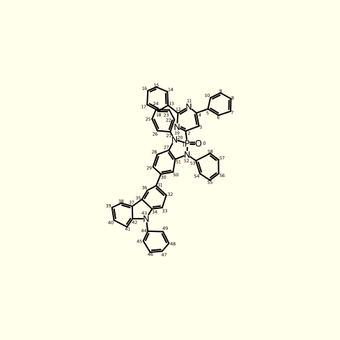 O=P1(c2cc(-c3ccccc3)nc(-c3ccccc3)n2)N(c2ccccc2)c2ccc(-c3ccc4c(c3)c3ccccc3n4-c3ccccc3)cc2N1c1ccccc1